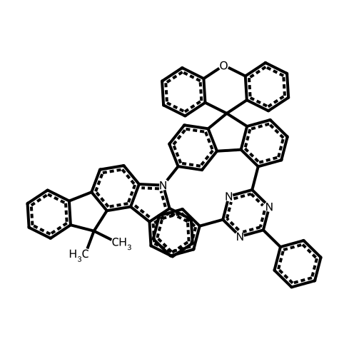 CC1(C)c2ccccc2-c2ccc3c(c21)c1ccccc1n3-c1ccc2c(c1)-c1c(-c3nc(-c4ccccc4)nc(-c4ccccc4)n3)cccc1C21c2ccccc2Oc2ccccc21